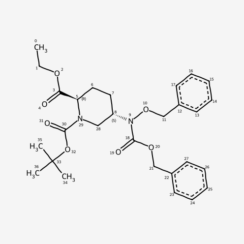 CCOC(=O)[C@H]1CC[C@H](N(OCc2ccccc2)C(=O)OCc2ccccc2)CN1C(=O)OC(C)(C)C